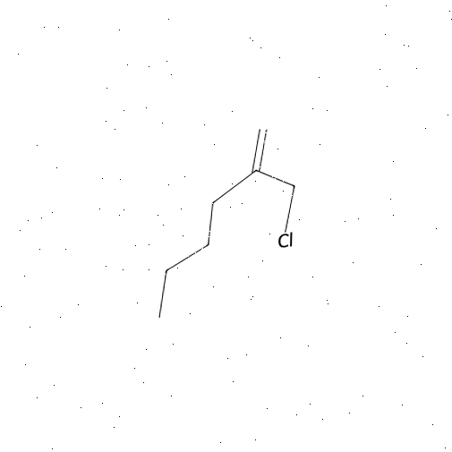 C=C(CCl)CCCC